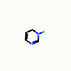 ClN1C=NC=CC1